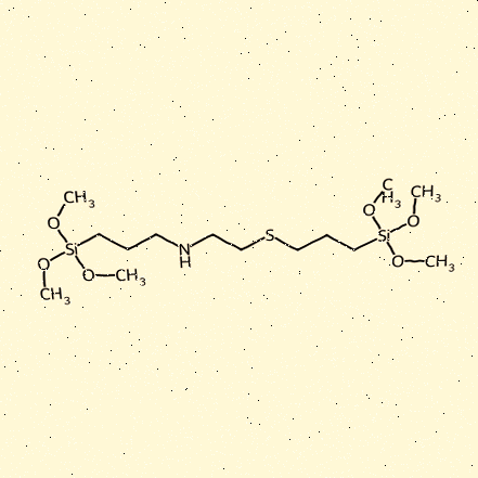 CO[Si](CCCNCCSCCC[Si](OC)(OC)OC)(OC)OC